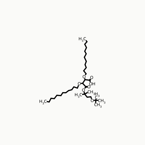 CCCCCCCCCCCCOC(C(=O)O)C(OCCCCCCCCCCCC)C(=O)OC(C)(C)CCOC(C)(C)C